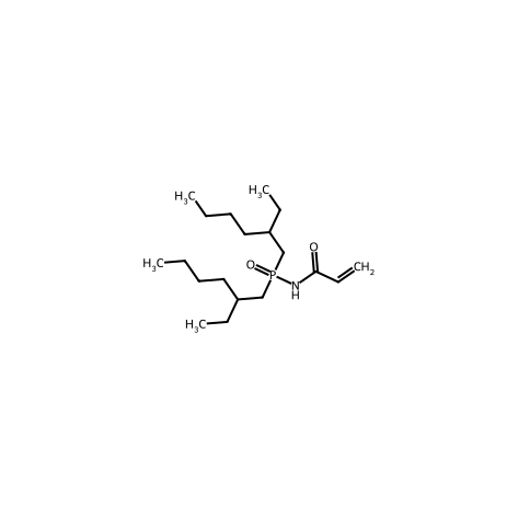 C=CC(=O)NP(=O)(CC(CC)CCCC)CC(CC)CCCC